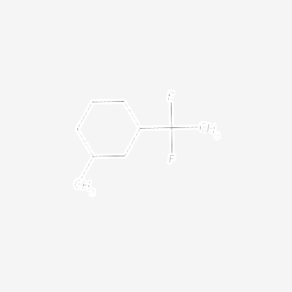 CC1CCCC(C(C)(F)F)C1